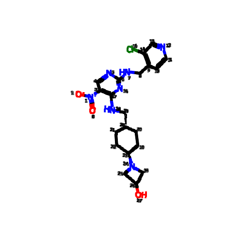 O=[N+]([O-])c1cnc(NCc2ccncc2Cl)nc1NC[C@H]1CC[C@H](N2CC(O)C2)CC1